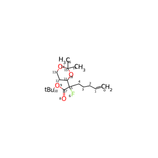 C=CCCCC(F)(C(=O)OC(C)(C)C)C1CCOC(C)(C)O1